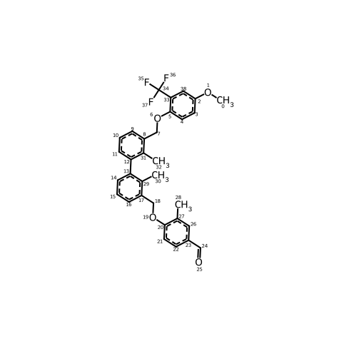 COc1ccc(OCc2cccc(-c3cccc(COc4ccc(C=O)cc4C)c3C)c2C)c(C(F)(F)F)c1